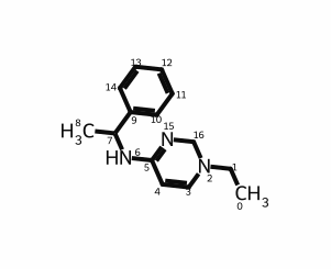 CCN1C=CC(NC(C)c2ccccc2)=NC1